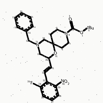 CC(C)(C)OC(=O)N1CCC2(CC1)CN(Cc1ccccc1)CC(/C=C/c1c(F)cccc1[N+](=O)[O-])O2